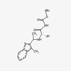 Cc1c(C(C)N[C@H](C(=O)NC(=O)OC(C)(C)C)C(C)C)sc2ccccc12